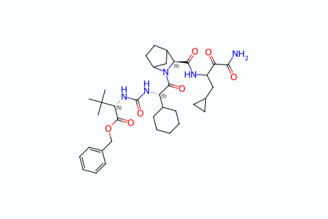 CC(C)(C)[C@H](NC(=O)N[C@H](C(=O)N1C2CCC(C2)[C@H]1C(=O)NC(CC1CC1)C(=O)C(N)=O)C1CCCCC1)C(=O)OCc1ccccc1